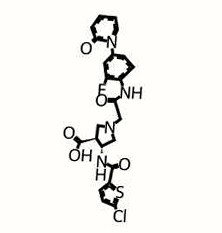 O=C(CN1C[C@H](NC(=O)c2ccc(Cl)s2)[C@@H](C(=O)O)C1)Nc1ccc(-n2ccccc2=O)cc1F